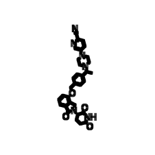 CC(c1ccc(COc2cccc3c2CN([C@H]2CCC(=O)NC2=O)C3=O)cc1)N1CCN(c2ccc(C#N)nc2)CC1